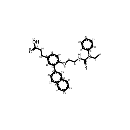 CCN(C(=S)NCCOc1ccc(CCC(=O)O)cc1-c1ccc2ccccc2c1)c1ccccc1